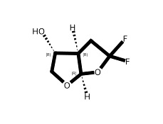 O[C@H]1CO[C@@H]2OC(F)(F)C[C@@H]21